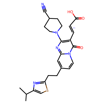 CC(C)c1csc(CCc2ccn3c(=O)c(/C=C/C(=O)O)c(N4CCC(C#N)CC4)nc3c2)n1